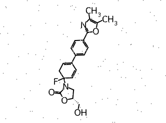 Cc1nc(-c2ccc(C3=CCC(F)(N4C[C@H](CO)OC4=O)C=C3)cc2)oc1C